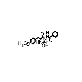 COc1ccc(CC(NC(=O)O)C(=O)NNC(=O)c2ccccc2)cc1